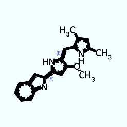 COc1c/c(=C2/C=c3ccccc3=N2)[nH]/c1=C/c1[nH]c(C)cc1C